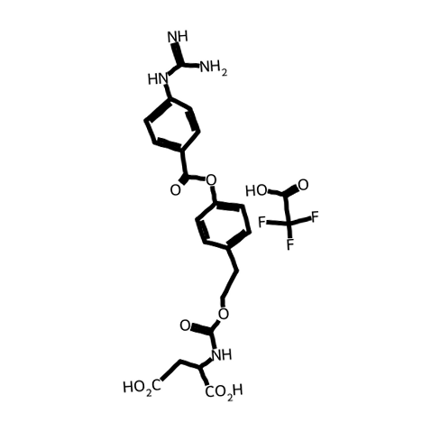 N=C(N)Nc1ccc(C(=O)Oc2ccc(CCOC(=O)NC(CC(=O)O)C(=O)O)cc2)cc1.O=C(O)C(F)(F)F